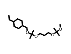 CCC1CCC(COC(C)(C)OCCCOC(C)(C)OC)CC1